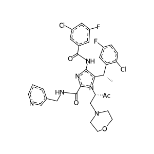 CC(=O)[C@H](CN1CCOCC1)n1c(C(=O)NCc2cccnc2)nc(NC(=O)c2cc(F)cc(Cl)c2)c1[C@@H](C)c1cc(F)ccc1Cl